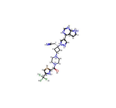 N#CC[C@]1(n2cc(-c3ncnc4[nH]ccc34)cn2)C[C@@H](N2CCN(C(=O)c3nc(C(F)(F)F)cs3)CC2)C1